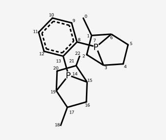 CC1CC2CCC1P2c1ccccc1P1C2CC(C)C1CC2C